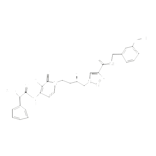 CC(=O)OC(C(=O)Nc1ccn(CC[C@@H](F)Cn2cc(C(=O)NCc3cccc(OC(F)(F)F)c3)nn2)c(=O)c1F)c1ccccc1